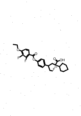 CCOc1ccc(C(=O)Oc2ccc(C(CC)C[C@@](F)(C(=O)O)C3CCCCC3)cc2)c(F)c1F